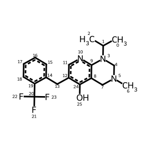 CC(C)N1CN(C)Cc2c1ncc(Cc1ccccc1C(F)(F)F)c2O